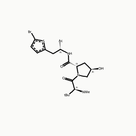 CN[C@H](C(=O)N1C[C@H](O)C[C@H]1C(=O)N[C@H](Cc1ccc(Br)s1)C(C)=O)C(C)(C)C